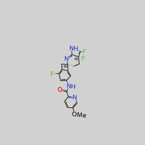 COc1ccc(C(=O)Nc2cc(F)c3c(c2)[C@@]2(CC[C@](F)(CF)C(N)=N2)C3)nc1